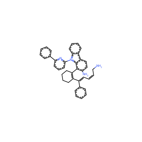 NC/C=C\C=C(C1=C(c2c(N)ccc3c4ccccc4n(-c4cccc(-c5ccccc5)n4)c23)CCCC1)c1ccccc1